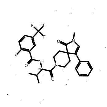 CC(C)[C@@H](NC(=O)c1cc(C(F)(F)F)ccc1F)C(=O)N1CCC2(CC1)C(=O)N(C)C=C2c1ccccc1